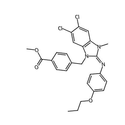 CCCOc1ccc(N=c2n(C)c3cc(Cl)c(Cl)cc3n2Cc2ccc(C(=O)OC)cc2)cc1